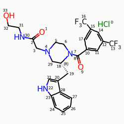 Cl.O=C(CN1CCN(C(=O)c2cc(C(F)(F)F)cc(C(F)(F)F)c2)[C@H](Cc2c[nH]c3ccccc23)C1)NCCO